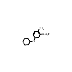 CC1=C(C(=O)O)CC(OC2CCOCC2)C=C1